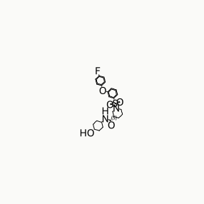 O=C(NC1CCC(O)CC1)[C@H]1CCCN(S(=O)(=O)c2cccc(Oc3ccc(F)cc3)c2)C1